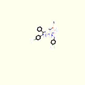 CCOC(=O)C(C)n1c(N2CC(c3ccccc3)C(c3ccc(Cl)cc3)=N2)nn(Cc2ccc(Cl)cc2)c1=O